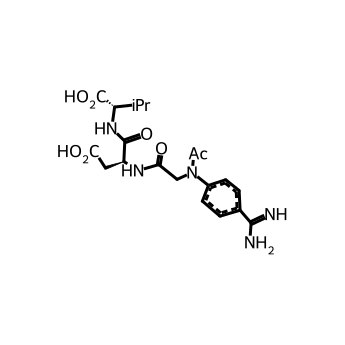 CC(=O)N(CC(=O)N[C@@H](CC(=O)O)C(=O)N[C@H](C(=O)O)C(C)C)c1ccc(C(=N)N)cc1